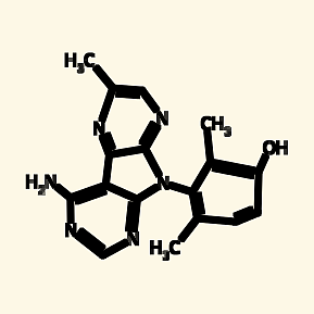 Cc1cnc2c(n1)c1c(N)ncnc1n2-c1c(C)ccc(O)c1C